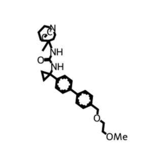 COCCOCc1ccc(-c2ccc(C3(NC(=O)NC4(C)CCN5CCC4CC5)CC3)cc2)cc1